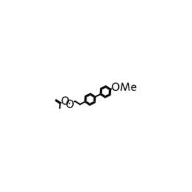 C=C(C)OOCCc1ccc(-c2ccc(OC)cc2)cc1